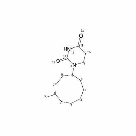 CC1CCCCCC(N2CCC(=O)NC2=O)CC1